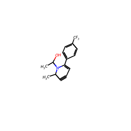 CC(O)N1C(c2ccc(C(F)(F)F)cc2)=CC#CC1C